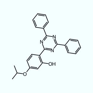 CC(C)Oc1ccc(-c2nc(-c3ccccc3)nc(-c3ccccc3)n2)c(O)c1